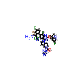 N#Cc1c(N)sc2c(F)ccc(-c3c(Cl)cc4c(N5CCC6CN(C(=O)n7cncn7)CCC65)nc(OC[C@@]56CCCN5C[C@H](F)C6)nc4c3F)c12